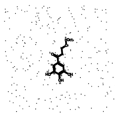 CCCCCCCCOCCC(=O)c1cc(O)c(O)c(O)c1